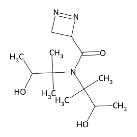 CC(O)C(C)(C)N(C(=O)C1CN=N1)C(C)(C)C(C)O